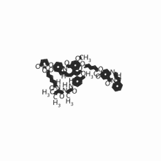 COc1cc2c(cc1OCCCCCOc1cc3c(cc1OC)C(=O)N1c4ccccc4C[C@H]1CC/C3=C/C(=O)OCc1ccc(NC(=O)[C@H](C)NC(=O)[C@@H](NC(=O)CCCCC(=O)ON3C(=O)CCC3=O)C(C)C)cc1)N=C[C@@H]1Cc3ccccc3N1C2=O